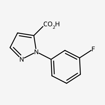 O=C(O)c1ccnn1-c1cccc(F)c1